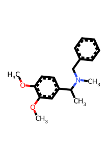 COc1ccc(C(C)N(C)Cc2ccccc2)cc1OC